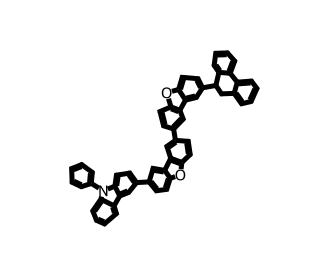 c1ccc(-n2c3ccccc3c3cc(-c4ccc5oc6ccc(-c7ccc8oc9ccc(C%10Cc%11ccccc%11-c%11ccccc%11%10)cc9c8c7)cc6c5c4)ccc32)cc1